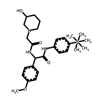 COc1ccc(C(NC(=O)CN2CCCC(O)C2)C(=O)Nc2ccc(S(C)(C)(C)(C)C)cc2)cc1